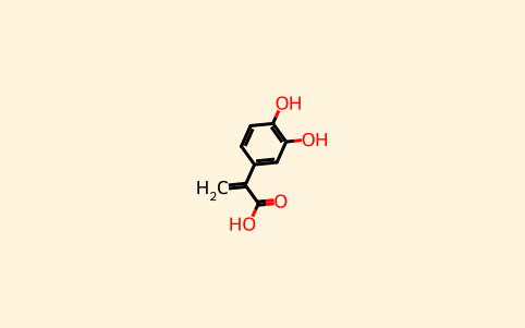 C=C(C(=O)O)c1ccc(O)c(O)c1